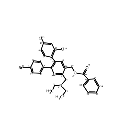 CCN(CC)Cc1nc(-c2ccc(Br)cc2)c(-c2ccc(Cl)cc2Cl)cc1COC(=O)c1ccccc1